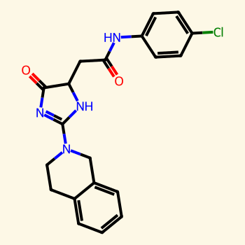 O=C(CC1NC(N2CCc3ccccc3C2)=NC1=O)Nc1ccc(Cl)cc1